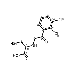 O=C(CN[C@H](CS)C(=O)O)c1cccc(Cl)c1Cl